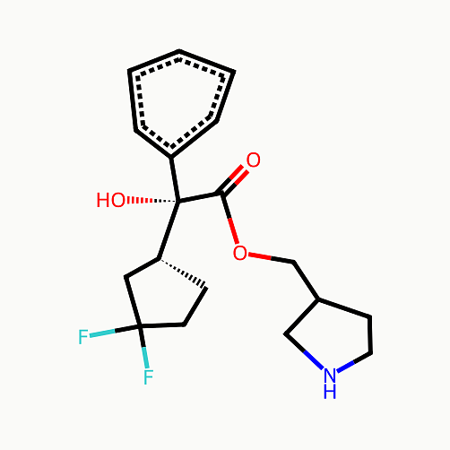 O=C(OCC1CCNC1)[C@](O)(c1ccccc1)[C@@H]1CCC(F)(F)C1